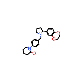 O=C1CCCCN1c1ccc(CN2CCC[C@H]2c2ccc3c(c2)OCCO3)cc1